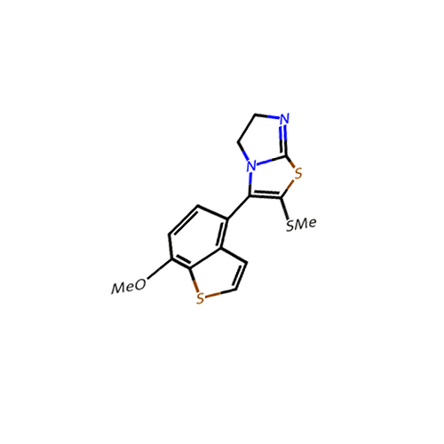 COc1ccc(C2=C(SC)SC3=NCCN32)c2ccsc12